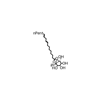 CCCCCC=CCC=CCCCCCCCC(=O)OC1(C(C)C)O[C@H](CO)[C@@H](O)[C@H](O)[C@H]1O